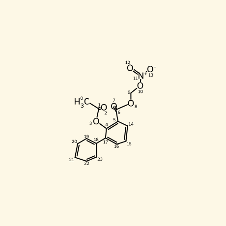 CC(=O)Oc1c(C(=O)OCO[N+](=O)[O-])cccc1-c1ccccc1